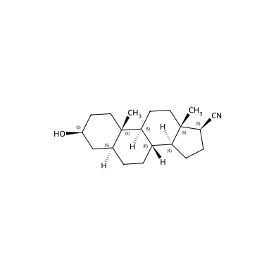 C[C@]12CC[C@H](O)C[C@@H]1CC[C@@H]1[C@@H]2CC[C@]2(C)[C@@H](C#N)CC[C@@H]12